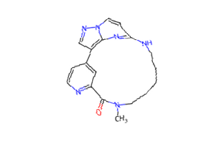 CN1CCCCCNc2ccn3ncc(c3n2)-c2ccnc(c2)C1=O